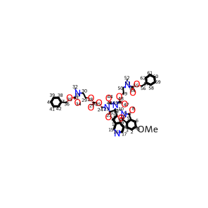 COc1ccc2c(c1)C(=O)N(C[C@]1(c3cc4cnccc4o3)C(=O)N(COC(=O)OCCN(C)C(=O)OCc3ccccc3)C(=O)N1C(=O)OCCN(C)C(=O)OCc1ccccc1)C2